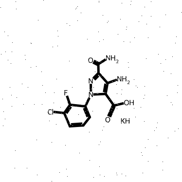 NC(=O)c1nn(-c2cccc(Cl)c2F)c(C(=O)O)c1N.[KH]